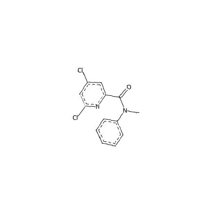 CN(C(=O)c1cc(Cl)cc(Cl)n1)c1ccccc1